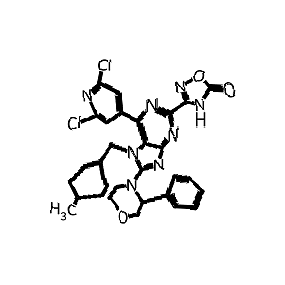 CC1CCC(Cn2c(N3CCOCC3c3ccccc3)nc3nc(-c4noc(=O)[nH]4)nc(-c4cc(Cl)nc(Cl)c4)c32)CC1